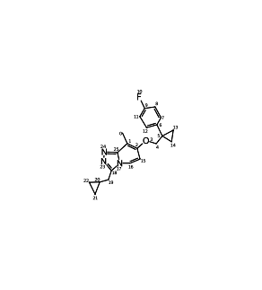 Cc1c(OCC2(c3ccc(F)cc3)CC2)ccn2c(CC3CC3)nnc12